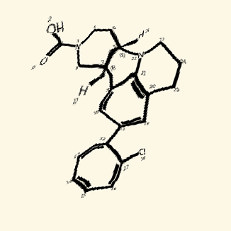 O=C(O)N1CC[C@H]2[C@@H](C1)c1cc(-c3ccccc3Cl)cc3c1N2CCC3